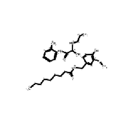 CCCCCCCCC(=O)NCc1ccc(O)c(OC)c1.CCCNC(C)C(=O)Nc1ccccc1C